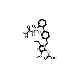 CCc1nc(SC)c(OC(=O)O)n1Cc1ccc(-c2ccccc2S(=O)(=O)NC(=O)NC)cc1